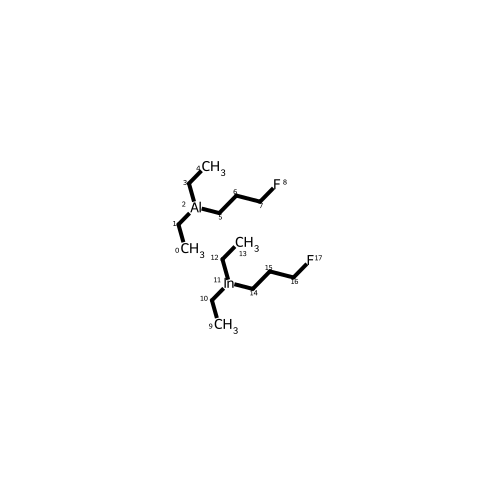 C[CH2][Al]([CH2]C)[CH2]CCF.C[CH2][In]([CH2]C)[CH2]CCF